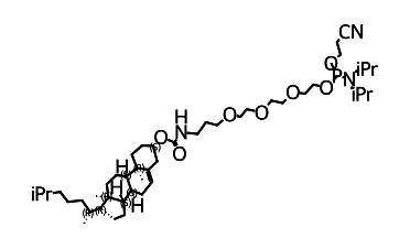 CC(C)CCC[C@@H](C)[C@H]1CC[C@H]2[C@@H]3CC=C4C[C@@H](OC(=O)NCCCOCCOCCOCCOP(OCCC#N)N(C(C)C)C(C)C)CC[C@]4(C)[C@H]3CC[C@]12C